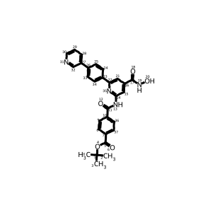 CC(C)(C)OC(=O)c1ccc(C(=O)Nc2cc(C(=O)NO)cc(-c3ccc(-c4cccnc4)cc3)n2)cc1